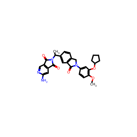 COc1ccc(N2Cc3ccc(C(C)N4C(=O)c5cnc(N)cc5C4=O)cc3C2=O)cc1OC1CCCC1